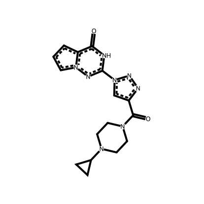 O=C(c1cn(-c2nn3cccc3c(=O)[nH]2)nn1)N1CCN(C2CC2)CC1